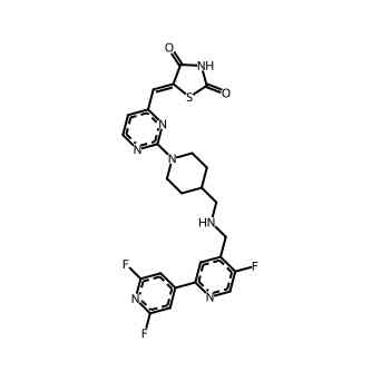 O=C1NC(=O)C(=Cc2ccnc(N3CCC(CNCc4cc(-c5cc(F)nc(F)c5)ncc4F)CC3)n2)S1